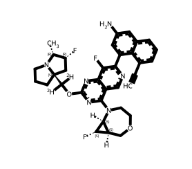 [2H]C([2H])(Oc1nc(N2CCOC[C@H]3[C@H](F)[C@H]32)c2cnc(-c3cc(N)cc4cccc(C#C)c34)c(F)c2n1)[C@@]12CCCN1[C@H](C)[C@H](F)C2